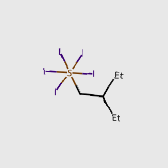 CCC(CC)CS(I)(I)(I)(I)I